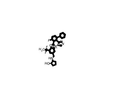 Cn1cnnc1-c1c(-c2ccccc2)ccc(F)c1-c1nc2cc(CNC3CCC[C@H]3O)cc(C(C)(F)F)c2o1